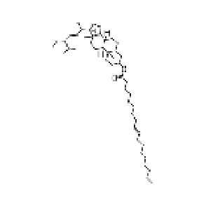 CCCCCCCC/C=C/CCCCCCCC(=O)OC1CC[C@@]2(C)C(CC[C@H]3[C@@H]4CC[C@H]([C@H](C)CC[C@@H](CC)C(C)C)[C@@]4(C)CC[C@@H]32)C1